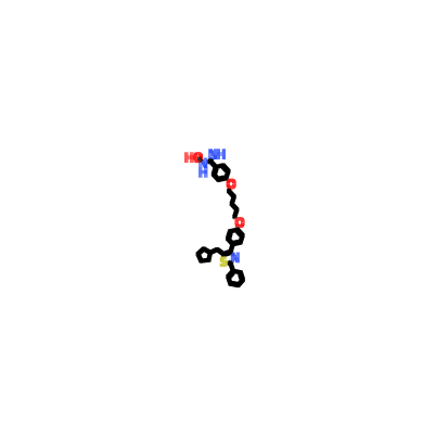 N=C(NO)c1ccc(OCCCCCOc2ccc(-c3nc(-c4ccccc4)sc3CC3CCCC3)cc2)cc1